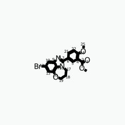 COC(=O)c1cc(-c2nc3cc(Br)cc4c3n2CCCO4)ccc1OC